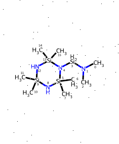 CN(C)[SiH2]N1[Si](C)(C)N[Si](C)(C)N[Si]1(C)C